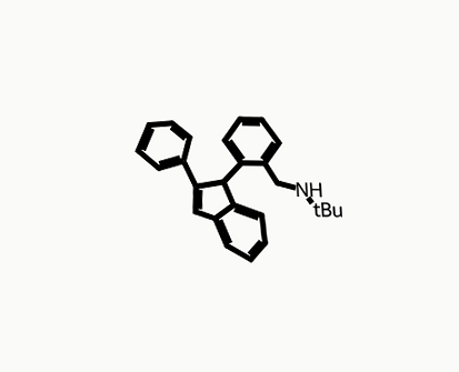 CC(C)(C)NCc1ccccc1C1C(c2ccccc2)=Cc2ccccc21